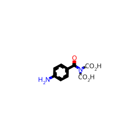 Nc1ccc(C(=O)N(C(=O)O)C(=O)O)cc1